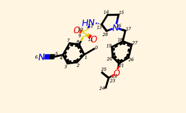 Cc1ccc(C#N)cc1S(=O)(=O)N[C@@H]1CCN(Cc2ccc(OC(C)C)cc2)C1